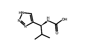 CC(C)[C@H](NC(=O)O)c1c[nH]nn1